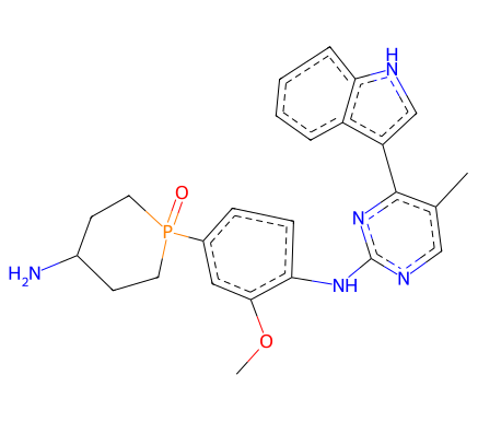 COc1cc(P2(=O)CCC(N)CC2)ccc1Nc1ncc(C)c(-c2c[nH]c3ccccc23)n1